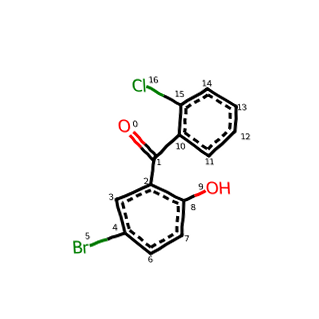 O=C(c1cc(Br)ccc1O)c1ccccc1Cl